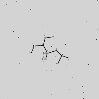 COC(OC)[SiH](N)CC(C)C